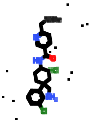 CC(=O)NCc1ccc(C(=O)NC2CCC(CN)(c3cccc(Cl)c3)CC2)cn1.Cl